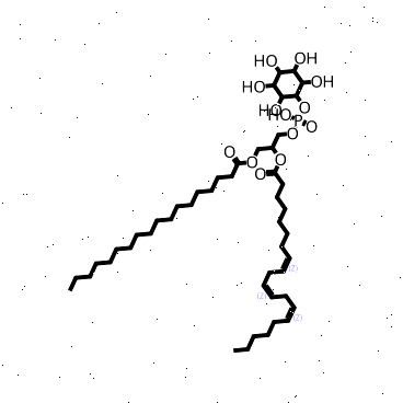 CCCCC/C=C\C/C=C\C/C=C\CCCCCCC(=O)OC(COC(=O)CCCCCCCCCCCCCCCCC)COP(=O)(O)OC1C(O)C(O)C(O)C(O)C1O